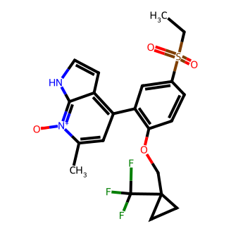 CCS(=O)(=O)c1ccc(OCC2(C(F)(F)F)CC2)c(-c2cc(C)[n+]([O-])c3[nH]ccc23)c1